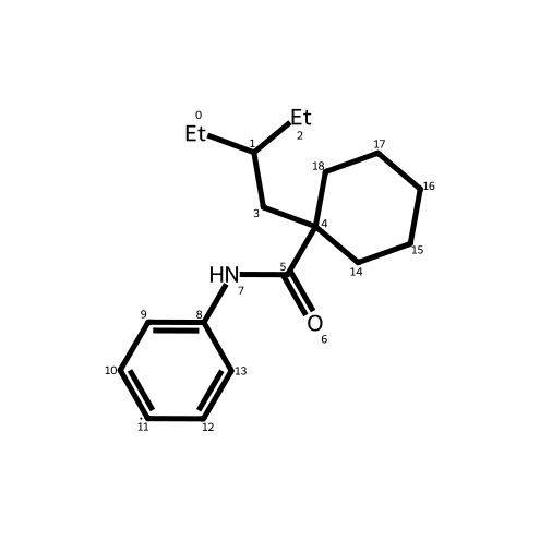 CCC(CC)CC1(C(=O)Nc2cc[c]cc2)CCCCC1